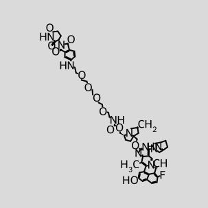 C#Cc1c(F)ccc2cc(O)cc(-c3ncc4c(N5CC6CCC(C5)N6)nc(OCC56CC[C@@H](COC(=O)NCCOCCOCCOCCOCCNc7ccc8c(c7)C(=O)N(C7CCC(=O)NC7=O)C8=O)N5CC(=C)C6)nc4c3C)c12